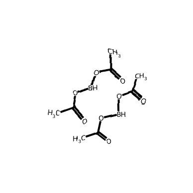 CC(=O)OBOC(C)=O.CC(=O)OBOC(C)=O